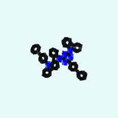 c1ccc(-c2ccc(-c3nc(-n4c5ccccc5c5ccccc54)nc(-n4c5ccccc5c5c4ccc4c6ccccc6n(-c6ccc(-c7ccccc7)cc6)c45)n3)cc2)cc1